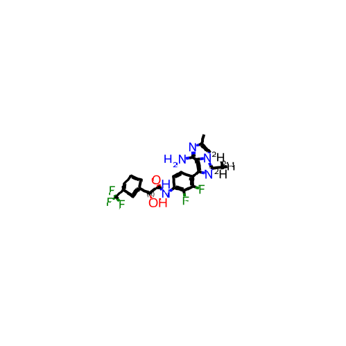 [2H]C([2H])([2H])c1nc(-c2ccc(NC(=O)[C@H](O)c3cccc(C(F)(F)F)c3)c(F)c2F)c2c(N)nc(C)cn12